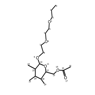 CCCOCCOCCOC1OC(COC(C)=O)C(C)C(C)C1C